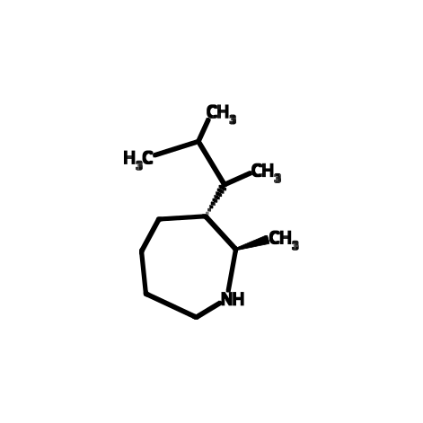 CC(C)C(C)[C@H]1CCCCN[C@@H]1C